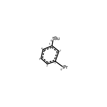 CC(C)c1cccc(C(C)(C)C)c1